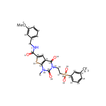 COc1cccc(CNC(=O)c2cc3c(=O)n(CCS(=O)(=O)c4cccc(C(F)(F)F)c4)c(=O)n(C)c3s2)c1